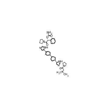 CN(C)CC(=O)N1CCC[C@H]1c1ncc(-c2ccc(-c3ccc(-c4cnc([C@@H]5CCCN5C(=O)[C@H](OC(N)=O)c5ccccc5)[nH]4)cc3)cc2)[nH]1